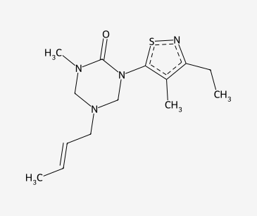 C/C=C/CN1CN(C)C(=O)N(c2snc(CC)c2C)C1